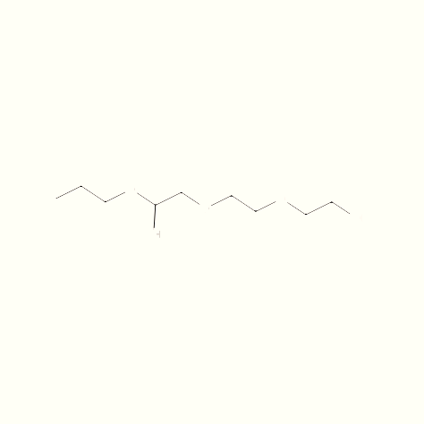 CCCOC(O)COCCOCCO